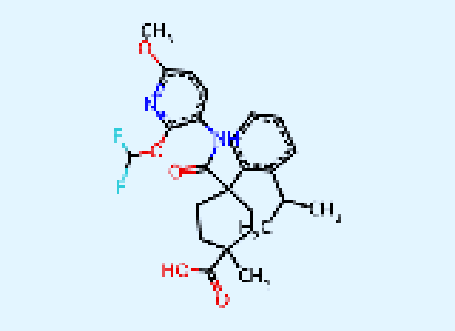 COc1ccc(NC(=O)C2(c3ccccc3C(C)C)CCC(C)(C(=O)O)CC2)c(OC(F)F)n1